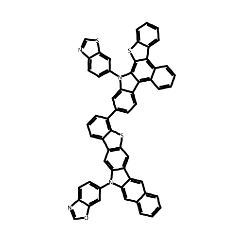 c1ccc2cc3c(cc2c1)c1cc2sc4c(-c5ccc6c7c8ccccc8c8c9ccccc9sc8c7n(-c7ccc8ncsc8c7)c6c5)cccc4c2cc1n3-c1ccc2ncoc2c1